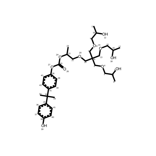 CC(O)COCC(COCC(C)O)(COCC(C)O)COCC(C)OC(=O)Oc1ccc(C(C)(C)c2ccc(O)cc2)cc1